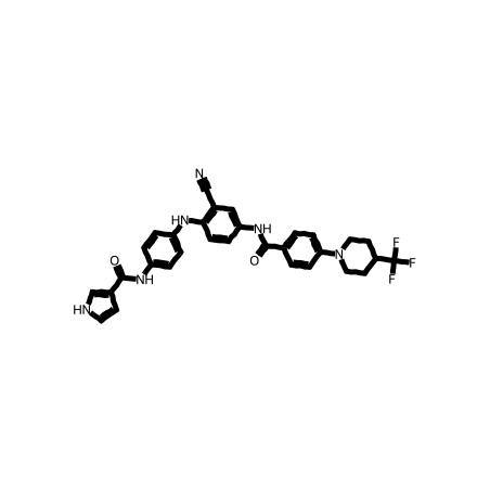 N#Cc1cc(NC(=O)c2ccc(N3CCC(C(F)(F)F)CC3)cc2)ccc1Nc1ccc(NC(=O)c2cc[nH]c2)cc1